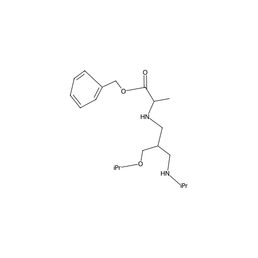 CC(C)NCC(CNC(C)C(=O)OCc1ccccc1)COC(C)C